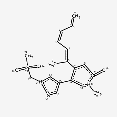 C=C/C=C\C=C(/C)c1cc(=O)n(C)cc1-c1cnn(CS(C)(=O)=O)c1